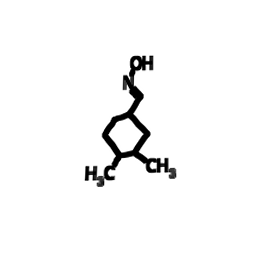 CC1CCC(/C=N/O)CC1C